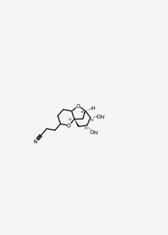 N#CCCC1CCC2O[C@@H]3C[C@]2(C[C@@H](O)[C@H]3O)O1